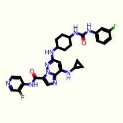 O=C(Nc1cccc(F)c1)NC1CCC(Nc2cc(NC3CC3)c3ncc(C(=O)Nc4ccncc4F)n3n2)CC1